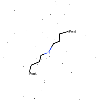 CCCC(C)CCC[N]CCCC(C)CCC